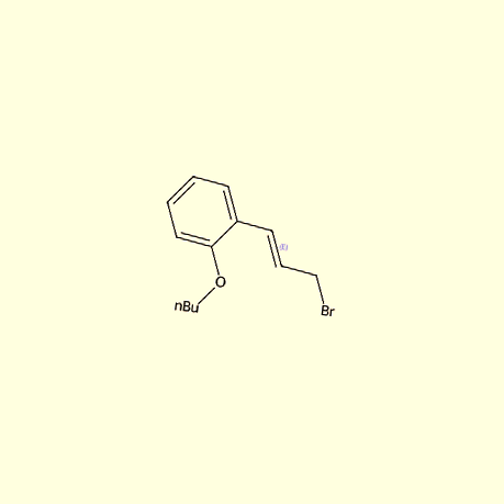 CCCCOc1ccccc1/C=C/CBr